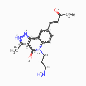 COC(=O)/C=C/c1ccc2c(c1)c1n[nH]c(C)c1c(=O)n2CCCN